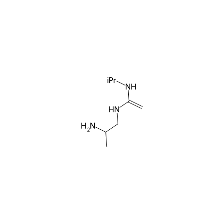 C=C(NCC(C)N)NC(C)C